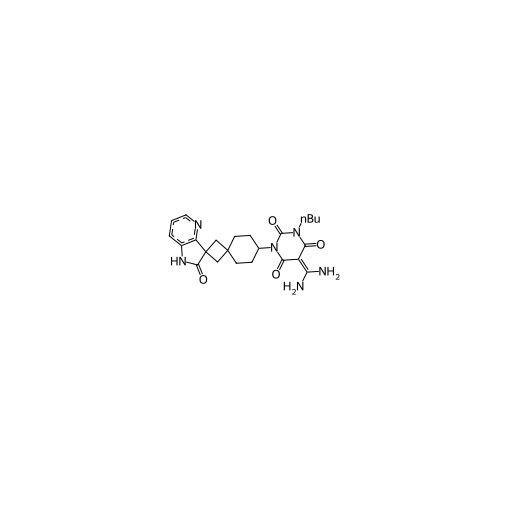 CCCCN1C(=O)C(=C(N)N)C(=O)N(C2CCC3(CC2)CC2(C3)C(=O)Nc3cccnc32)C1=O